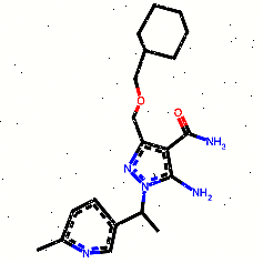 Cc1ccc(C(C)n2nc(COCC3CCCCC3)c(C(N)=O)c2N)cn1